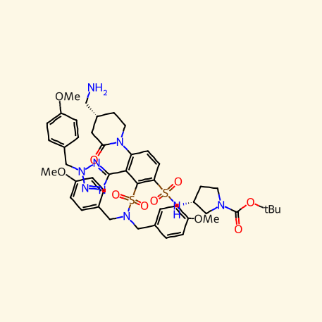 COc1ccc(CN(Cc2ccc(OC)cc2)S(=O)(=O)c2c(S(=O)(=O)N[C@@H]3CCN(C(=O)OC(C)(C)C)C3)ccc(N3CC[C@@H](CN)CC3=O)c2-c2nnn(Cc3ccc(OC)cc3)n2)cc1